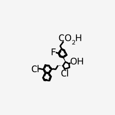 O=C(O)CCc1ccc([C@H]2C(O)CC(Cl)[C@@H]2CCc2ccc(Cl)c3ccccc23)cc1F